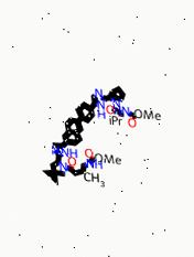 COC(=O)NCC(C)CC(=O)N1CC2(CC2)CC1c1ncc(-c2ccc3cc(-c4ccc(-c5cnc(C6C7CCC(C7)N6C(=O)C(NC(=O)OC)C(C)C)[nH]5)cc4)ccc3c2)[nH]1